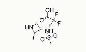 C[C@H]1NC[C@@H]1NS(C)(=O)=O.O=C(O)C(F)(F)F